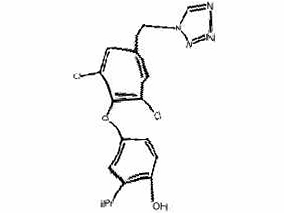 CC(C)c1cc(Oc2c(Cl)cc(Cn3cnnn3)cc2Cl)ccc1O